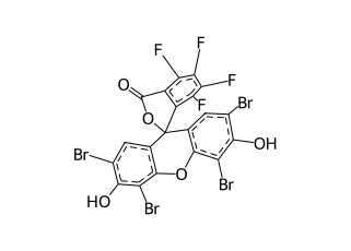 O=C1OC2(c3cc(Br)c(O)c(Br)c3Oc3c2cc(Br)c(O)c3Br)c2c(F)c(F)c(F)c(F)c21